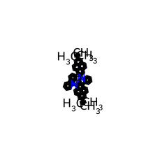 CC(C)(C)C1=CC2=C3C(=CC=C4C=C(N5B6c7c(c8ccc9cc(C(C)(C)C)cc%10ccc(c7-n7c%11ccccc%11c%11cccc6c%117)c8c9%10)-c6ccccc65)C=C(C=C2)C43)C1